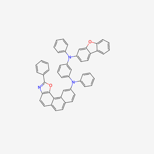 c1ccc(-c2nc3ccc4ccc5ccc(N(c6ccccc6)c6cccc(N(c7ccccc7)c7ccc8c(c7)oc7ccccc78)c6)cc5c4c3o2)cc1